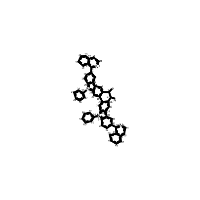 CC1c2cc3c4cc(-c5nccc6ccccc56)ccc4n(-c4ccccc4)c3cc2-c2cc3c(cc2C1C)c1cc(-c2nccc4ccccc24)ccc1n3-c1ccccc1